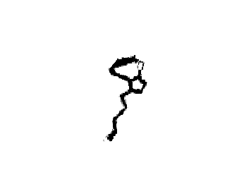 [CH]=CCCCc1ccc2occcc1-2